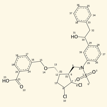 CS(=O)(=O)N(C[C@H]1C(Cl)C(Cl)C[C@@H]1COCc1cccc(C(=O)O)c1)c1cccc(C(O)Cc2ccccc2)c1